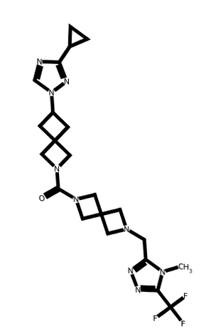 Cn1c(CN2CC3(C2)CN(C(=O)N2CC4(CC(n5cnc(C6CC6)n5)C4)C2)C3)nnc1C(F)(F)F